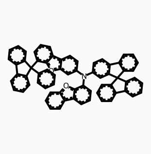 c1ccc(C2(c3cccc4c3oc3cc(N(c5ccc6c(c5)C5(c7ccccc7-c7ccccc75)c5ccccc5-6)c5cccc6c5oc5ccccc56)ccc34)c3ccccc3-c3ccccc32)cc1